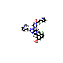 C#Cc1c(F)ccc2cc(O)cc(-c3ncc4c(N5CCN(C(=O)/C(F)=C/c6ccccn6)CC5)nc(OCC5CCCN5CCCC)nc4c3F)c12